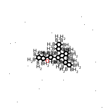 Bc1c(-c2c(B)c(B)c3c(oc4c(B)c5c(B)c(B)c(B)c(B)c5c(B)c43)c2B)cc2c(-c3c(B)c(B)c4c(B)c(B)c(B)c(B)c4c3B)c3c(B)c(B)c(B)c(B)c3c(-c3c(B)c(B)c4c(B)c(B)c(B)c(B)c4c3B)c2c1B